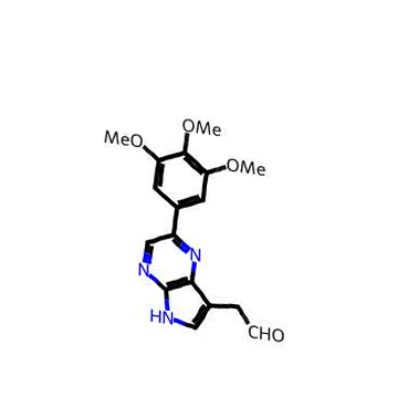 COc1cc(-c2cnc3[nH]cc(CC=O)c3n2)cc(OC)c1OC